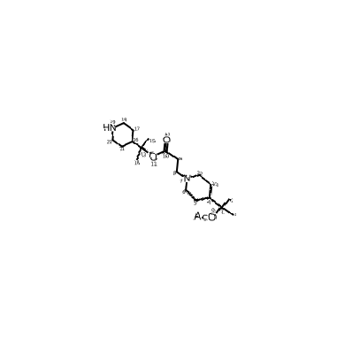 CC(=O)OC(C)(C)C1CCN(CCC(=O)OC(C)(C)C2CCNCC2)CC1